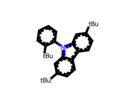 CC(C)(C)c1ccc2c3ccc(C(C)(C)C)cc3n(-c3ccccc3C(C)(C)C)c2c1